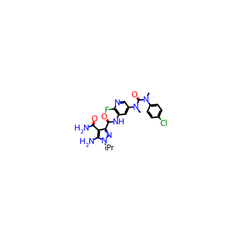 CC(C)n1nc(C(=O)Nc2cc(N(C)C(=O)N(C)c3ccc(Cl)cc3)cnc2F)c(C(N)=O)c1N